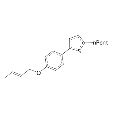 CC=CCOc1ccc(-c2ccc(CCCCC)s2)cc1